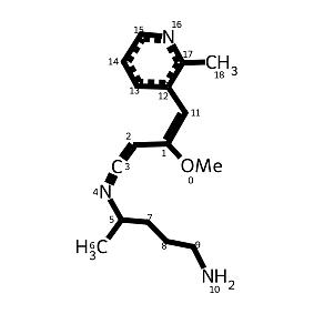 CO/C(C=C=NC(C)CCCN)=C/c1cccnc1C